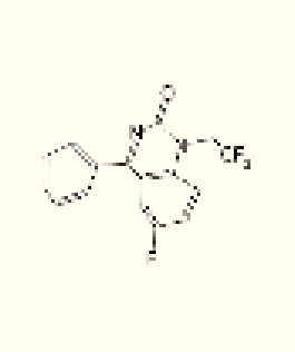 O=c1nc(-c2ccccc2)c2cc(F)ccc2n1CC(F)(F)F